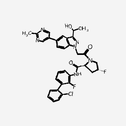 Cc1ncc(-c2ccc3c(c2)c(C(C)O)nn3CC(=O)N2C[C@H](F)C[C@H]2C(=O)Nc2cccc(-c3ccccc3Cl)c2F)cn1